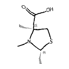 C[C@H]1SC[C@](C)(C(=O)O)N1C